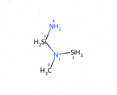 CN([SiH3])[SiH2]N